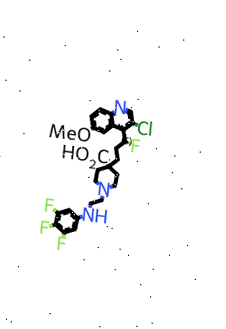 COc1ccc2ncc(Cl)c([C@@H](F)CCC3(C(=O)O)CCN(CCNc4cc(F)c(F)c(F)c4)CC3)c2c1